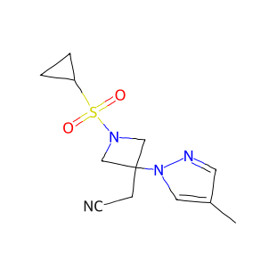 Cc1cnn(C2(CC#N)CN(S(=O)(=O)C3CC3)C2)c1